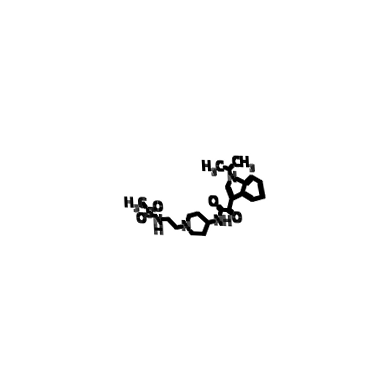 CC(C)n1cc(C(=O)C(=O)NC2CCN(CCNS(C)(=O)=O)CC2)c2ccccc21